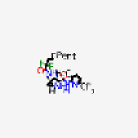 CCCCCC=CC(F)(F)C(=O)NC[C@@]12C[C@@H](C(=O)Nc3nc(C(F)(F)F)ccc3C)N[C@@H]1C2